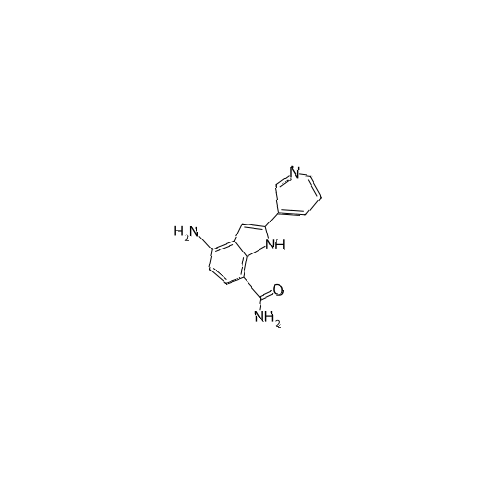 NC(=O)c1ccc(N)c2cc(-c3cccnc3)[nH]c12